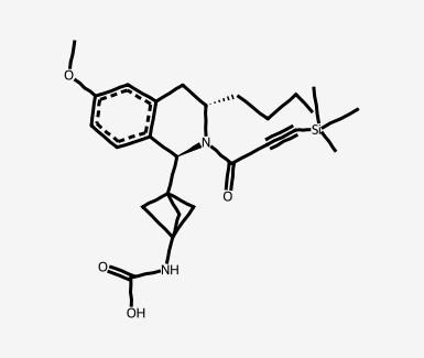 CCCC[C@H]1Cc2cc(OC)ccc2[C@H](C23CC(NC(=O)O)(C2)C3)N1C(=O)C#C[Si](C)(C)C